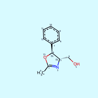 CC1=N[C@@H](CO)[C@H](c2ccccc2)O1